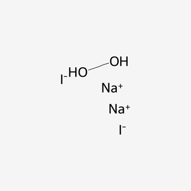 OO.[I-].[I-].[Na+].[Na+]